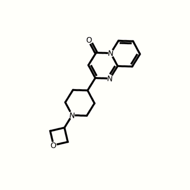 O=c1cc(C2CCN(C3COC3)CC2)nc2ccccn12